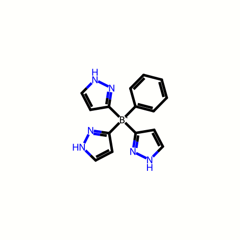 c1ccc([B-](c2cc[nH]n2)(c2cc[nH]n2)c2cc[nH]n2)cc1